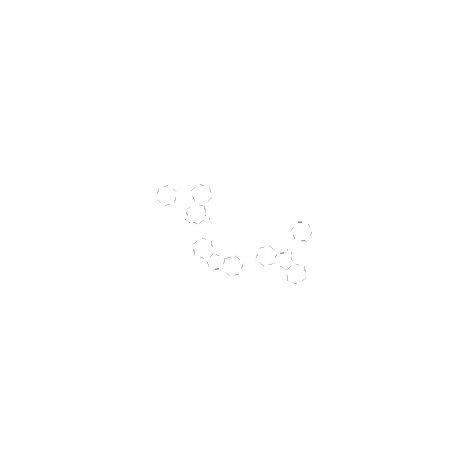 c1ccc(-n2c3ccccc3c3cc(-c4ccc5oc6ccc(-c7nc8c9c(cccc9n7)-c7ccccc7-8)cc6c5c4)ccc32)cc1